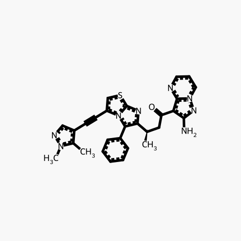 Cc1c(C#Cc2csc3nc([C@H](C)CC(=O)c4c(N)nn5cccnc45)c(-c4ccccc4)n23)cnn1C